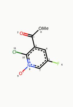 COC(=O)c1cc(F)c[n+]([O-])c1Cl